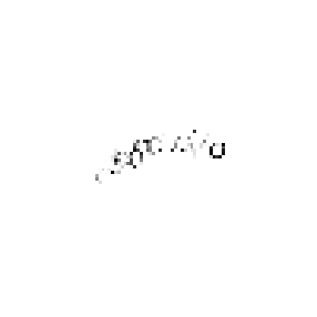 C[C@@H]1CC[C@@]2(OC1)O[C@H]1C[C@H]3[C@@H]4CC=C5C[C@@H](O[C@@H]6OC7COC(c8ccccc8)O[C@H]7[C@H](C)C6O)CC[C@]5(C)[C@H]4CC[C@]3(C)[C@H]1[C@@H]2C